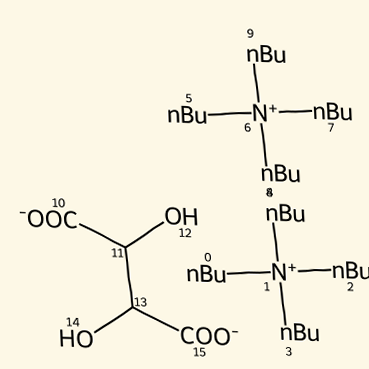 CCCC[N+](CCCC)(CCCC)CCCC.CCCC[N+](CCCC)(CCCC)CCCC.O=C([O-])C(O)C(O)C(=O)[O-]